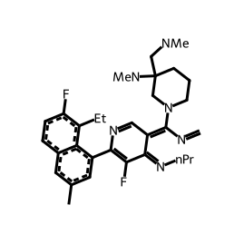 C=N/C(=C1/C=NC(c2cc(C)cc3ccc(F)c(CC)c23)=C(F)/C1=N/CCC)N1CCCC(CNC)(NC)C1